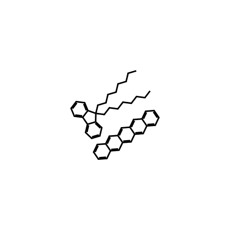 CCCCCCCCC1(CCCCCCCC)c2ccccc2-c2ccccc21.c1ccc2cc3cc4cc5ccccc5cc4cc3cc2c1